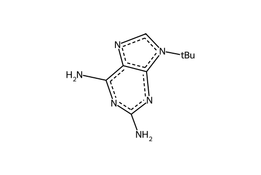 CC(C)(C)n1cnc2c(N)nc(N)nc21